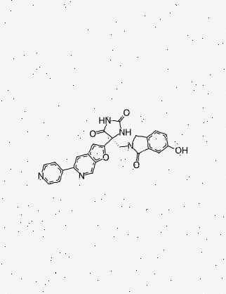 O=C1NC(=O)[C@](CN2Cc3ccc(O)cc3C2=O)(c2cc3cc(-c4ccncc4)ncc3o2)N1